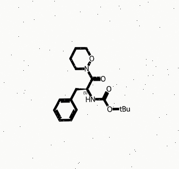 CC(C)(C)OC(=O)N[C@@H](Cc1ccccc1)C(=O)N1CCCCO1